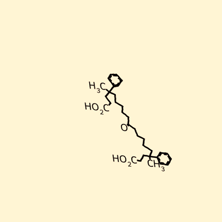 CC(CCCCCC(=O)CCCCCC(C)(CCC(=O)O)c1ccccc1)(CCC(=O)O)c1ccccc1